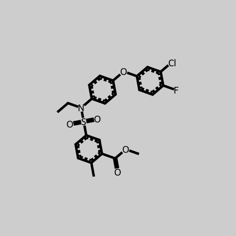 CCN(c1ccc(Oc2ccc(F)c(Cl)c2)cc1)S(=O)(=O)c1ccc(C)c(C(=O)OC)c1